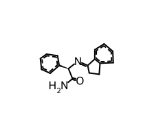 NC(=O)[C@H](N=C1CCc2ccccc21)c1ccccc1